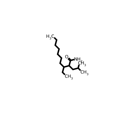 CCCCCCCC(CC)C(CC(C)C)C(N)=O